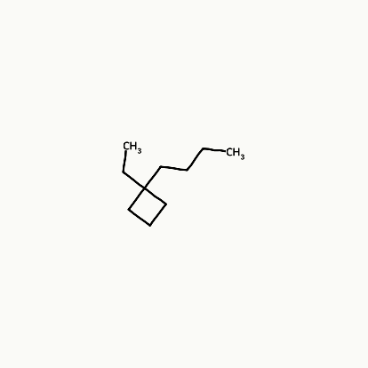 CCCCC1(CC)CCC1